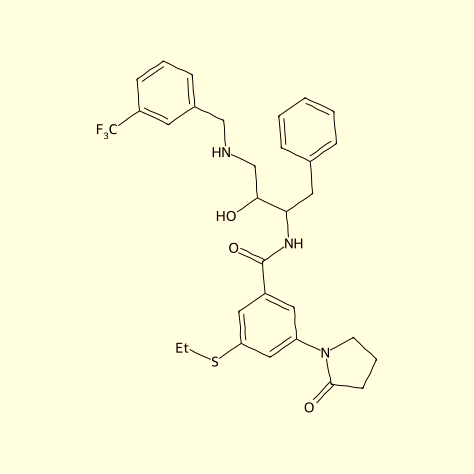 CCSc1cc(C(=O)NC(Cc2ccccc2)C(O)CNCc2cccc(C(F)(F)F)c2)cc(N2CCCC2=O)c1